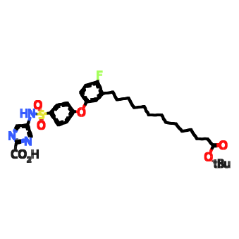 CC(C)(C)OC(=O)CCCCCCCCCCCCCc1cc(Oc2ccc(S(=O)(=O)Nc3cnc(C(=O)O)nc3)cc2)ccc1F